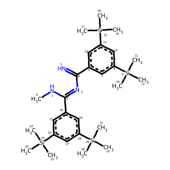 CN/C(=N\C(=N)c1cc([Si](C)(C)C)cc([Si](C)(C)C)c1)c1cc([Si](C)(C)C)cc([Si](C)(C)C)c1